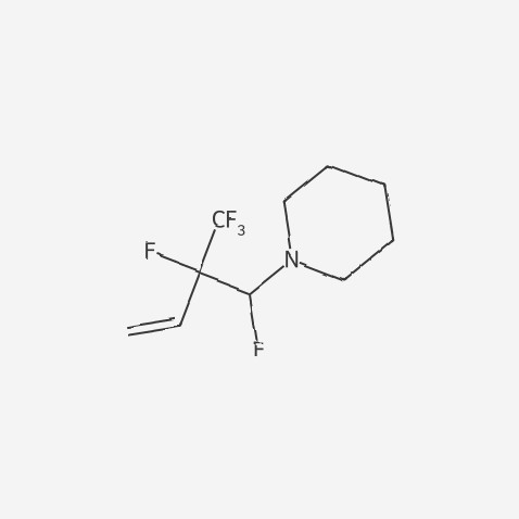 C=CC(F)(C(F)N1CCCCC1)C(F)(F)F